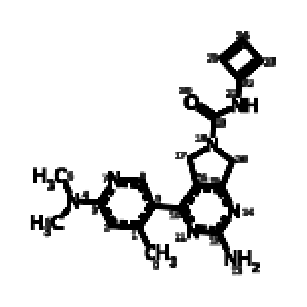 Cc1cc(N(C)C)ncc1-c1nc(N)nc2c1CN(C(=O)NC1=CC=C1)C2